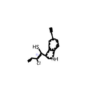 C#Cc1ccc2[nH]cc(/C(S)=C(\Cl)C=C)c2c1